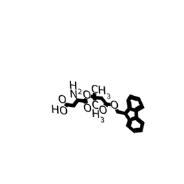 CC(C)(CC(=O)OCC1c2ccccc2-c2ccccc21)OC(=O)[C@@H](N)CC(=O)O